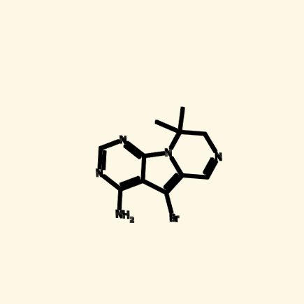 CC1(C)CN=Cc2c(Br)c3c(N)ncnc3n21